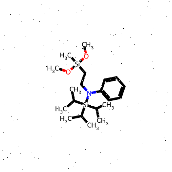 CO[Si](C)(CCN(c1ccccc1)[Si](C(C)C)(C(C)C)C(C)C)OC